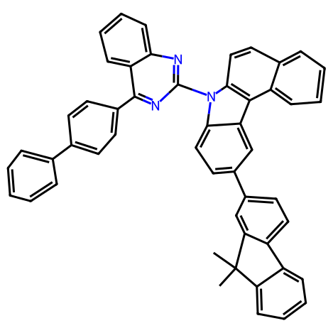 CC1(C)c2ccccc2-c2ccc(-c3ccc4c(c3)c3c5ccccc5ccc3n4-c3nc(-c4ccc(-c5ccccc5)cc4)c4ccccc4n3)cc21